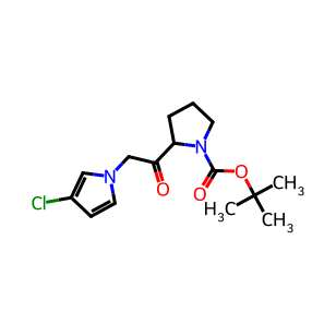 CC(C)(C)OC(=O)N1CCCC1C(=O)Cn1ccc(Cl)c1